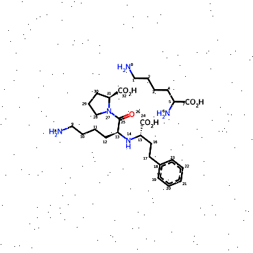 NCCCCC(N)C(=O)O.NCCCC[C@H](N[C@@H](CCc1ccccc1)C(=O)O)C(=O)N1CCC[C@H]1C(=O)O